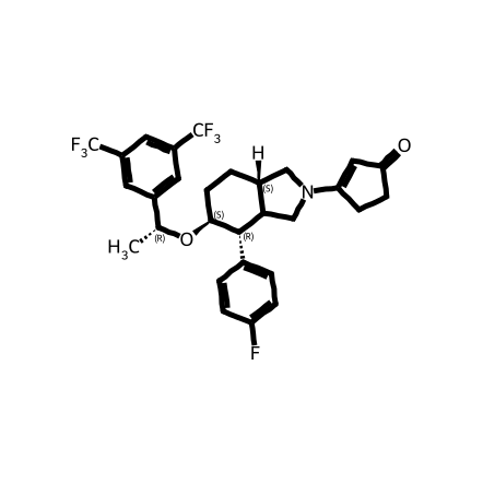 C[C@@H](O[C@H]1CC[C@@H]2CN(C3=CC(=O)CC3)CC2[C@@H]1c1ccc(F)cc1)c1cc(C(F)(F)F)cc(C(F)(F)F)c1